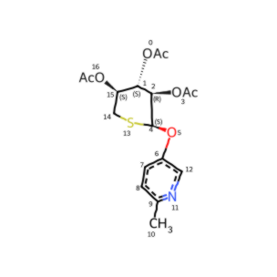 CC(=O)O[C@@H]1[C@@H](OC(C)=O)[C@@H](Oc2ccc(C)nc2)SC[C@H]1OC(C)=O